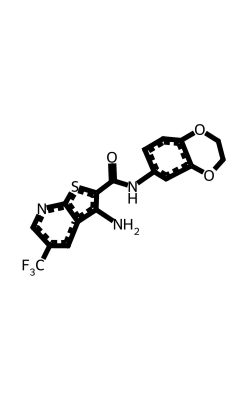 Nc1c(C(=O)Nc2ccc3c(c2)OCCO3)sc2ncc(C(F)(F)F)cc12